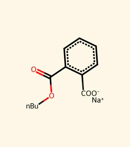 CCCCOC(=O)c1ccccc1C(=O)[O-].[Na+]